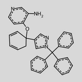 Nc1cnccc1OC1(c2cnn(C(c3ccccc3)(c3ccccc3)c3ccccc3)c2)C=CC=CC1